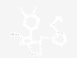 CC(C)(C)c1sc2ncnc(Oc3ccccc3OC(F)(F)F)c2c1-c1ccc(F)c(F)c1